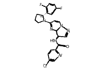 O=C(NC1C=NN2C=CC(N3CCC[C@@H]3c3cc(F)ccc3F)=NC12)c1ccc(Cl)cn1